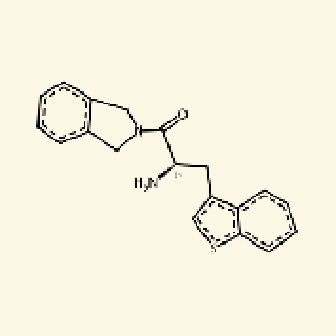 N[C@H](Cc1csc2ccccc12)C(=O)N1Cc2ccccc2C1